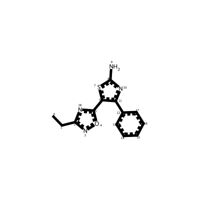 CCc1noc(-c2sc(N)nc2-c2ccccc2)n1